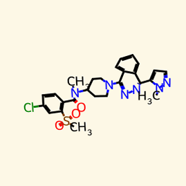 CN(C(=O)c1ccc(Cl)cc1S(C)(=O)=O)C1CCN(c2nnc(-c3ccnn3C)c3ccccc23)CC1